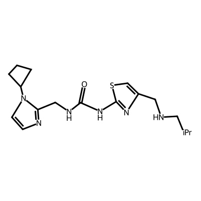 CC(C)CNCc1csc(NC(=O)NCc2nccn2C2CCC2)n1